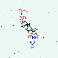 CC(C)C1=C2[C@H]3CC[C@@H]4[C@@]5(C)CC[C@H](OC(=O)CC(C)(C)C(=O)O)C(C)(C)[C@@H]5CC[C@@]4(C)[C@]3(C)CC[C@@]2(C(=O)NC2CCNCC2)CC1=O